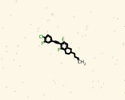 C=CCCC1CCc2c(cc(F)c(C#Cc3ccc(Cl)c(F)c3)c2F)C1